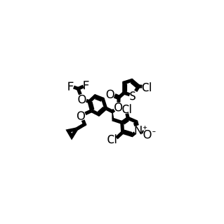 O=C(O[C@@H](Cc1c(Cl)c[n+]([O-])cc1Cl)c1ccc(OC(F)F)c(OCC2CC2)c1)c1ccc(Cl)s1